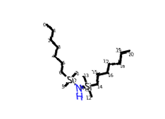 CCCCCCC[Si](C)(C)N[Si](C)(C)CCCCCCC